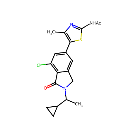 CC(=O)Nc1nc(C)c(-c2cc(Cl)c3c(c2)CN(C(C)C2CC2)C3=O)s1